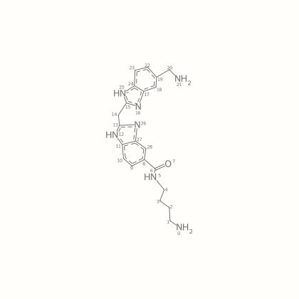 NCCCCNC(=O)c1ccc2[nH]c(Cc3nc4cc(CN)ccc4[nH]3)nc2c1